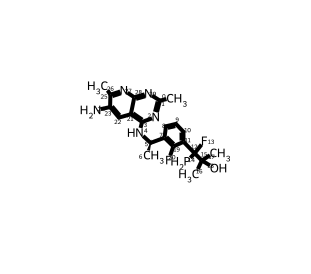 Cc1nc(N[C@H](C)c2cccc(C(F)(P)C(C)(C)O)c2F)c2cc(N)c(C)nc2n1